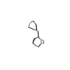 [CH]1CCC1C1CCO1